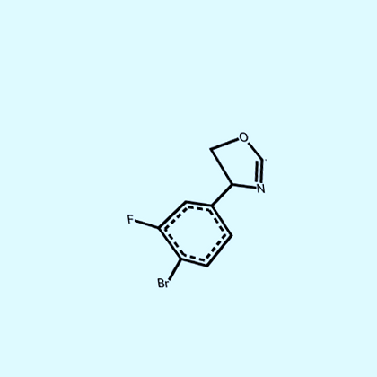 Fc1cc(C2CO[C]=N2)ccc1Br